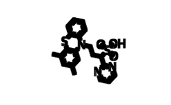 Cc1cc(C)c2c(c1)N(CCC(c1ncccn1)S(=O)(=O)O)c1ccccc1S2